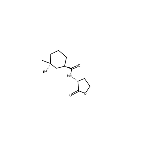 CC(C)[C@]1(C)CCC[C@@H](C(=O)N[C@@H]2CCOC2=O)C1